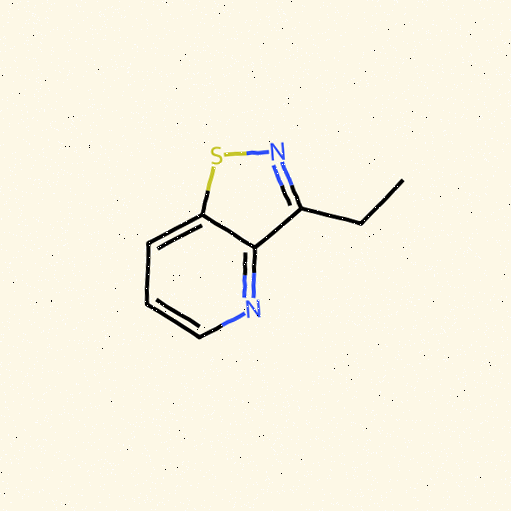 CCc1nsc2cccnc12